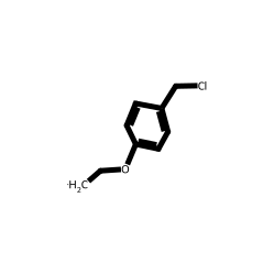 [CH2]COc1ccc(CCl)cc1